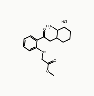 COC(=O)CNc1ccccc1C(=O)CC1CCCCC1N.Cl